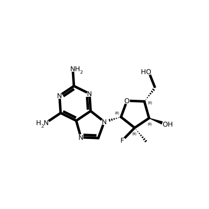 C[C@@]1(F)[C@H](O)[C@@H](CO)O[C@H]1n1cnc2c(N)nc(N)nc21